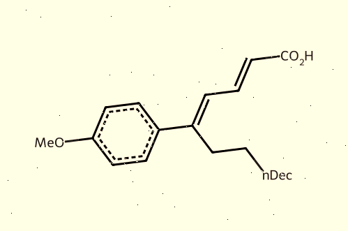 CCCCCCCCCCCCC(=CC=CC(=O)O)c1ccc(OC)cc1